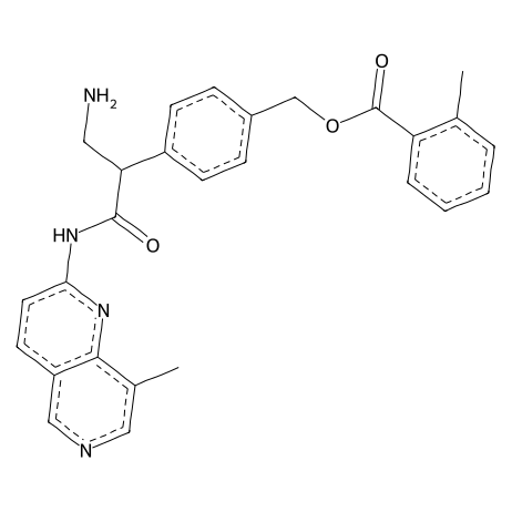 Cc1ccccc1C(=O)OCc1ccc(C(CN)C(=O)Nc2ccc3cncc(C)c3n2)cc1